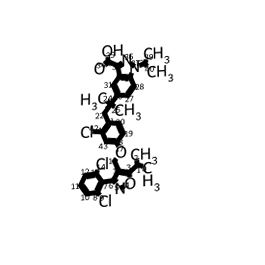 CC(C)c1onc(-c2c(Cl)cccc2Cl)c1COc1ccc(CC(C)(C)c2ccc3c(c2)c(C(=O)O)nn3C(C)C)c(Cl)c1